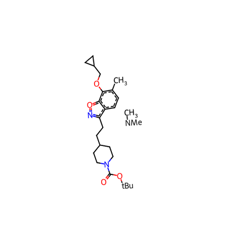 CNC.Cc1ccc2c(CCC3CCN(C(=O)OC(C)(C)C)CC3)noc2c1OCC1CC1